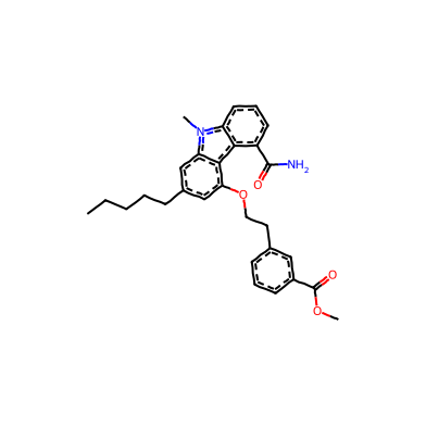 CCCCCc1cc(OCCc2cccc(C(=O)OC)c2)c2c3c(C(N)=O)cccc3n(C)c2c1